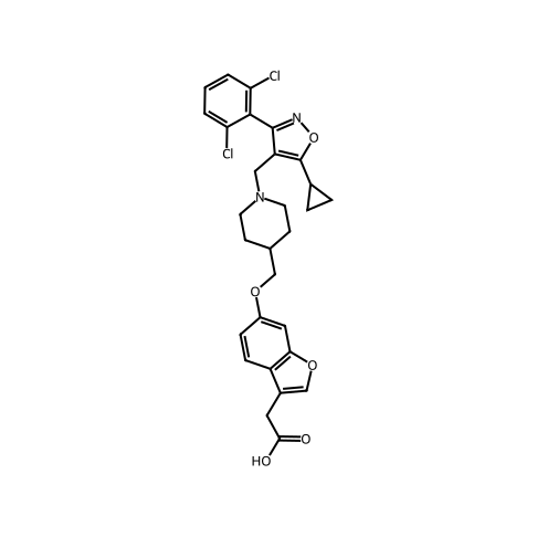 O=C(O)Cc1coc2cc(OCC3CCN(Cc4c(-c5c(Cl)cccc5Cl)noc4C4CC4)CC3)ccc12